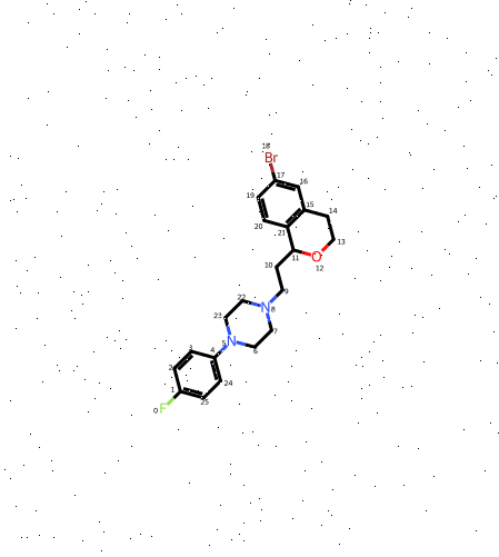 Fc1ccc(N2CCN(CCC3OCCc4cc(Br)ccc43)CC2)cc1